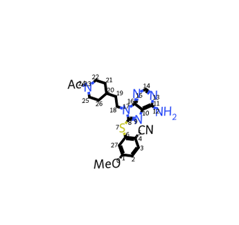 COc1ccc(C#N)c(Sc2nc3c(N)ncnc3n2CCC2CCN(C(C)=O)CC2)c1